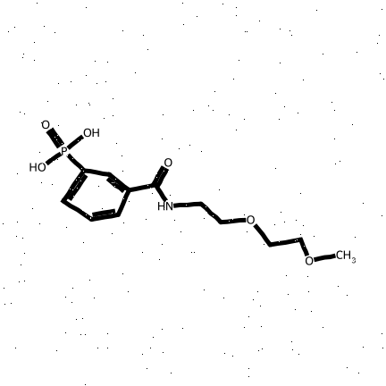 COCCOCCNC(=O)c1cccc(P(=O)(O)O)c1